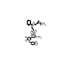 Cc1cc(-c2cc(F)c(=O)n(Cc3ccc4c(c3)OCO4)c2)nc(S(=O)(=O)CCC(OCC2CN2C)c2ccccc2)n1